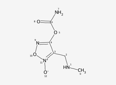 CNCc1c(OC(N)=O)no[n+]1[O-]